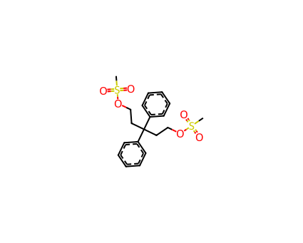 CS(=O)(=O)OCCC(CCOS(C)(=O)=O)(c1ccccc1)c1ccccc1